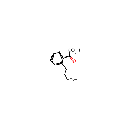 CCCCCCCCCCc1ccccc1C(=O)C(=O)O